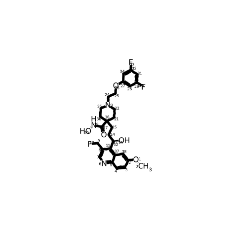 COc1ccc2ncc(CF)c([C@H](O)CCC3(C(=O)NO)CCN(CCOc4cc(F)cc(F)c4)CC3)c2c1